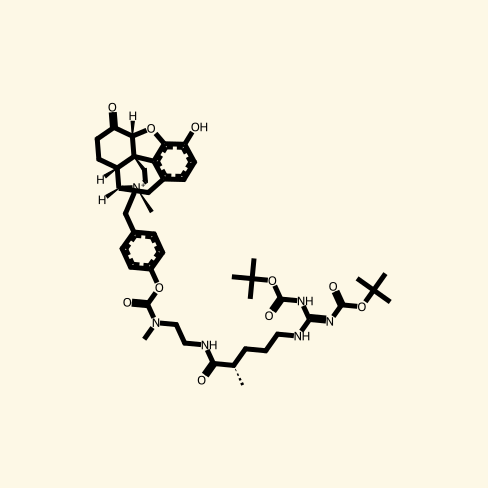 C[C@@H](CCCN/C(=N/C(=O)OC(C)(C)C)NC(=O)OC(C)(C)C)C(=O)NCCN(C)C(=O)Oc1ccc(C[N@@+]2(C)CC[C@]34c5c6ccc(O)c5O[C@H]3C(=O)CC[C@H]4[C@H]2C6)cc1